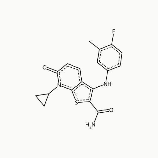 Cc1cc(Nc2c(C(N)=O)sc3c2ccc(=O)n3C2CC2)ccc1F